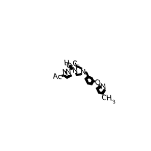 CC(=O)c1ccn(C(=O)N2CCN(Cc3cccc(Oc4ccc(C)cn4)c3)C[C@@H]2C)n1